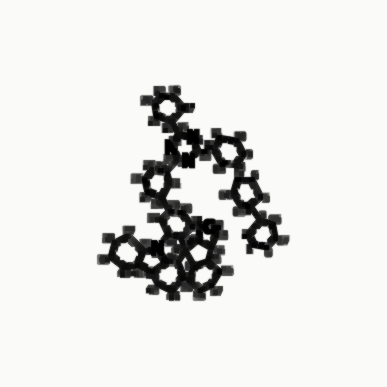 c1ccc(-c2ccc(-c3cccc(-c4nc(-c5ccccc5)nc(-c5cccc(-c6ccc7c(c6)-n6c8ccccc8c8cccc(c86)C76c7ccccc7-c7ccccc76)c5)n4)c3)cc2)cc1